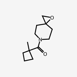 CC1(C(=O)N2CCC3(CC2)CO3)CCC1